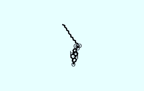 CCCCCCCCCCCCCCS(=O)(=O)O[C@H]1CC[C@H]2[C@@H]3CCC4=CC(=O)CC[C@]4(C)[C@H]3CC[C@]12C